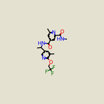 CNC(=O)c1cc(C(=O)NC(C)c2cnc(OCC(F)(F)F)c(C)c2)cc(C)n1